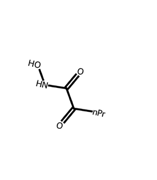 CCCC(=O)C(=O)NO